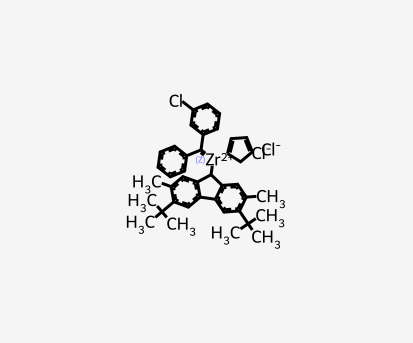 Cc1cc2c(cc1C(C)(C)C)-c1cc(C(C)(C)C)c(C)cc1[CH]2/[Zr+2]([C]1=CC=CC1)=[C](\c1ccccc1)c1cccc(Cl)c1.[Cl-].[Cl-]